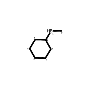 CBC1CCCCC1